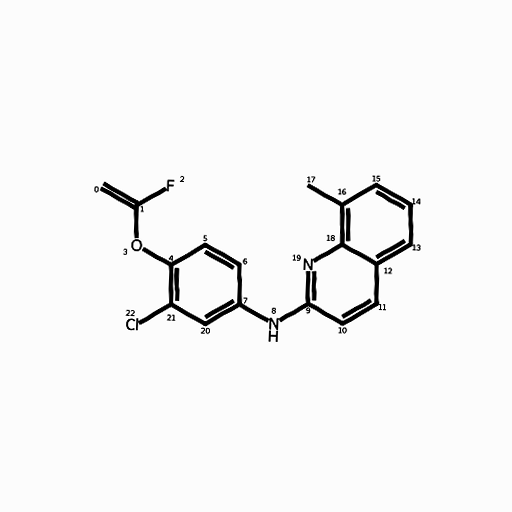 C=C(F)Oc1ccc(Nc2ccc3cccc(C)c3n2)cc1Cl